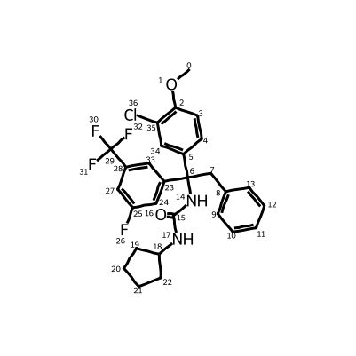 COc1ccc(C(Cc2ccccc2)(NC(=O)NC2CCCC2)c2cc(F)cc(C(F)(F)F)c2)cc1Cl